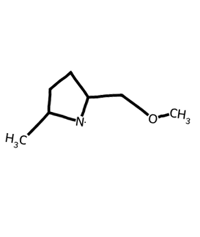 COCC1CCC(C)[N]1